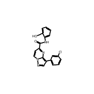 O=C(Nc1ccccc1O)c1ccn2ncc(-c3cccc(Cl)c3)c2n1